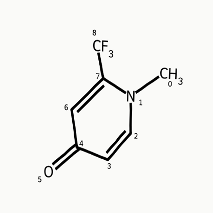 Cn1ccc(=O)cc1C(F)(F)F